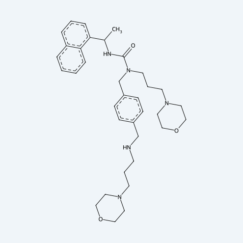 CC(NC(=O)N(CCCN1CCOCC1)Cc1ccc(CNCCCN2CCOCC2)cc1)c1cccc2ccccc12